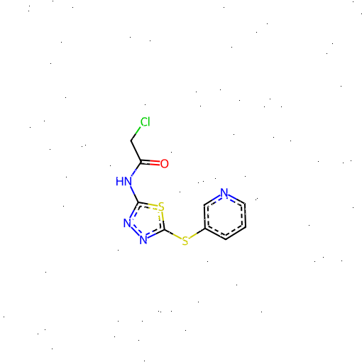 O=C(CCl)Nc1nnc(Sc2cccnc2)s1